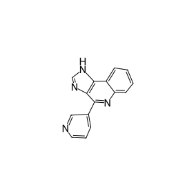 c1cncc(-c2nc3ccccc3c3[nH]cnc23)c1